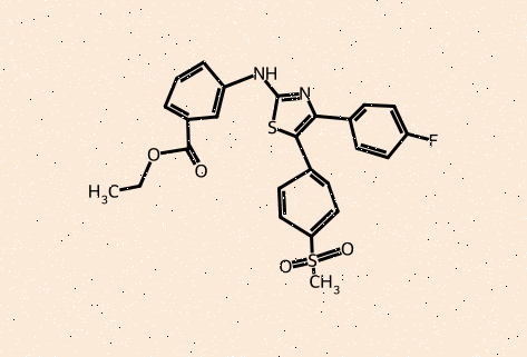 CCOC(=O)c1cccc(Nc2nc(-c3ccc(F)cc3)c(-c3ccc(S(C)(=O)=O)cc3)s2)c1